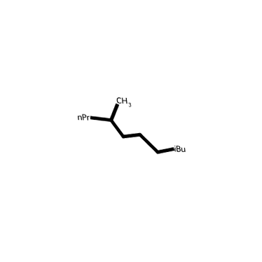 [CH2]C(CC)CCCC(C)CCC